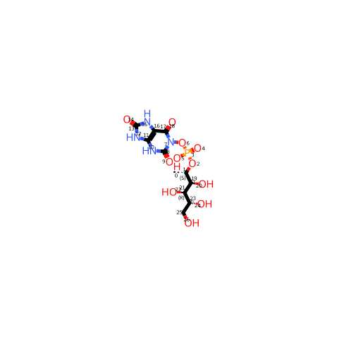 C[C@H](OP(=O)(O)On1c(=O)[nH]c2[nH]c(=O)[nH]c2c1=O)[C@@H](O)[C@H](O)[C@H](O)CO